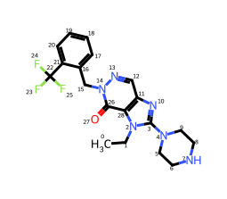 CCn1c(N2CCNCC2)nc2cnn(Cc3ccccc3C(F)(F)F)c(=O)c21